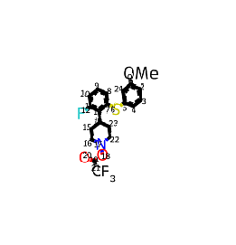 COc1cccc(Sc2cccc(F)c2C2CCN(OC(=O)C(F)(F)F)CC2)c1